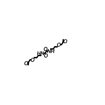 O=C(NCCCCOCC1CO1)C(=O)NCCCCOCC1CO1